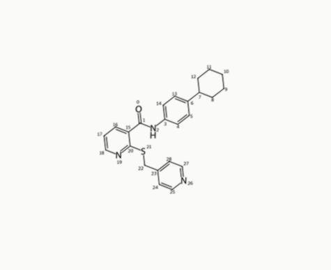 O=C(Nc1ccc(C2CCCCC2)cc1)c1cccnc1SCc1ccncc1